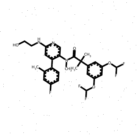 Cc1cc(F)ccc1-c1cc(NCCO)ncc1N(C)C(=O)C(C)(C)c1cc(OC(F)F)cc(OC(F)F)c1